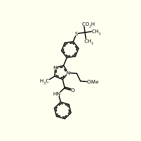 COCCn1c(-c2ccc(SC(C)(C)C(=O)O)cc2)nc(C)c1C(=O)Nc1ccccc1